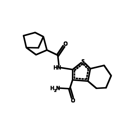 NC(=O)c1c(NC(=O)C2CC3CCC2C3)sc2c1CCCC2